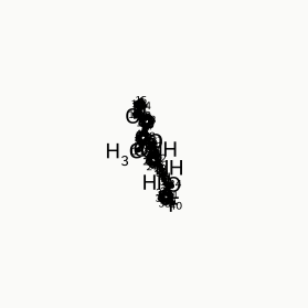 COc1ccc(-c2cccc(C(=O)N3CCC3)c2)cc1S(=O)(=O)Nc1cccc(NCCNC(=O)c2cccc(F)c2)c1